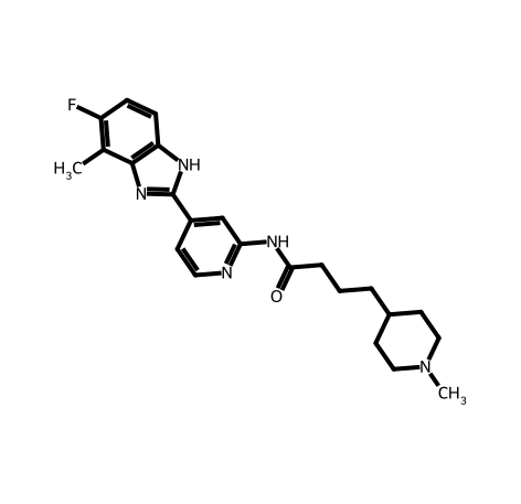 Cc1c(F)ccc2[nH]c(-c3ccnc(NC(=O)CCCC4CCN(C)CC4)c3)nc12